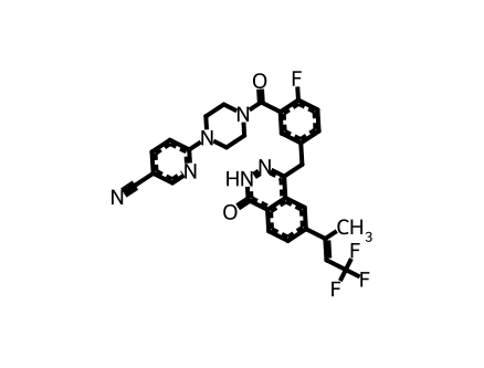 C/C(=C\C(F)(F)F)c1ccc2c(=O)[nH]nc(Cc3ccc(F)c(C(=O)N4CCN(c5ccc(C#N)cn5)CC4)c3)c2c1